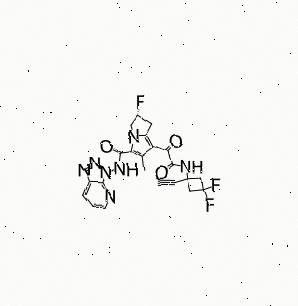 C#CC1(NC(=O)C(=O)c2c(C)c(C(=O)Nn3nnc4cccnc43)n3c2C[C@@H](F)C3)CC(F)(F)C1